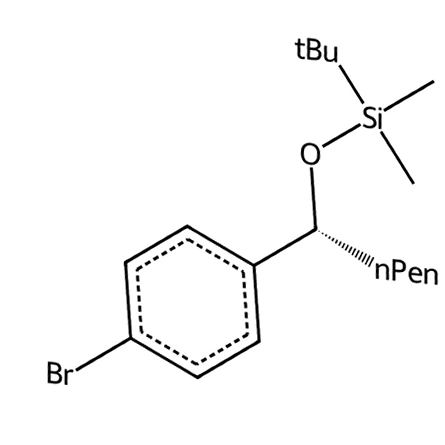 CCCCC[C@@H](O[Si](C)(C)C(C)(C)C)c1ccc(Br)cc1